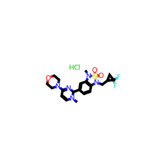 CN1C=CC(N2CCOCC2)=NC1c1ccc2c(c1)N(C)S(=O)(=O)N2CC1CC1(F)F.Cl